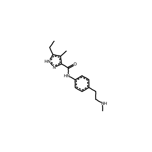 CCc1[nH]nc(C(=O)Nc2ccc(CCNC)cc2)c1C